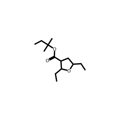 CCC1CC(C(=O)OC(C)(C)CC)C(CC)O1